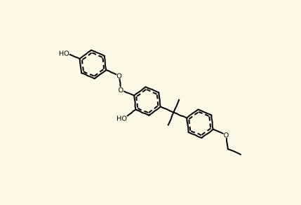 CCOc1ccc(C(C)(C)c2ccc(OOc3ccc(O)cc3)c(O)c2)cc1